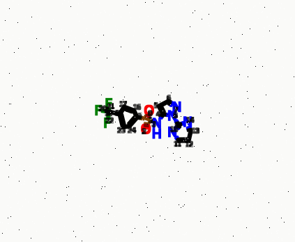 O=S(=O)(Nc1ccnn1-c1ncccn1)c1ccc(C(F)(F)F)cc1